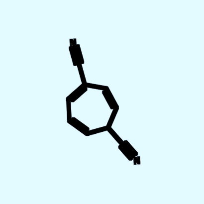 N#CC1=CC=CC(C#N)C=C1